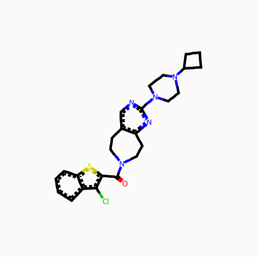 O=C(c1sc2ccccc2c1Cl)N1CCc2cnc(N3CCN(C4CCC4)CC3)nc2CC1